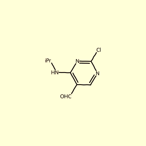 CC(C)Nc1nc(Cl)ncc1C=O